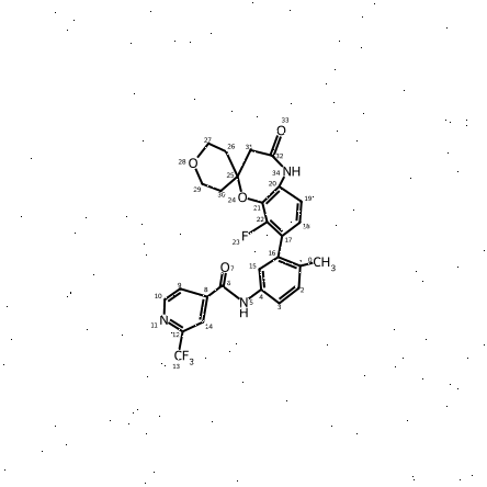 Cc1ccc(NC(=O)c2ccnc(C(F)(F)F)c2)cc1-c1ccc2c(c1F)OC1(CCOCC1)CC(=O)N2